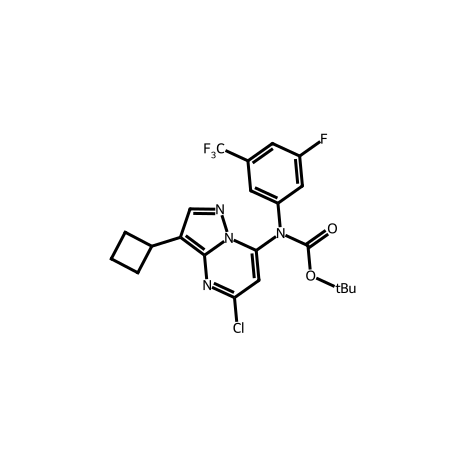 CC(C)(C)OC(=O)N(c1cc(F)cc(C(F)(F)F)c1)c1cc(Cl)nc2c(C3CCC3)cnn12